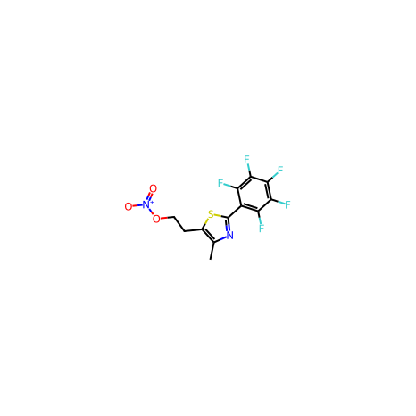 Cc1nc(-c2c(F)c(F)c(F)c(F)c2F)sc1CCO[N+](=O)[O-]